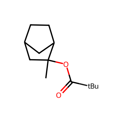 CC(C)(C)C(=O)OC1(C)CC2CCC1C2